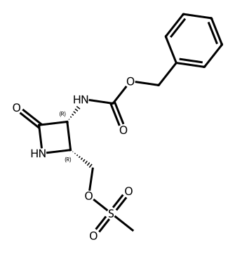 CS(=O)(=O)OC[C@@H]1NC(=O)[C@@H]1NC(=O)OCc1ccccc1